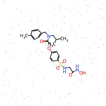 Cc1ccc(CN(CC(C)C)C(=O)COc2ccc(S(=O)(=O)NCC(=O)NO)cc2)cc1